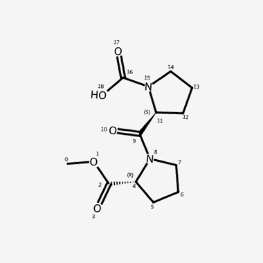 COC(=O)[C@H]1CCCN1C(=O)[C@@H]1CCCN1C(=O)O